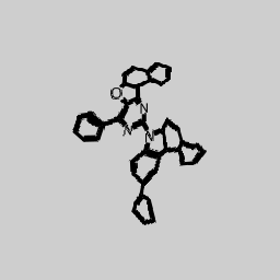 C1=CC2C(c3ccccc31)c1cc(-c3ccccc3)ccc1N2c1nc(-c2ccccc2)c2oc3ccc4ccccc4c3c2n1